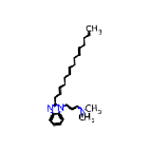 CCCCCCCCCCCCCCCc1nc2ccccc2n1CCCN(C)C